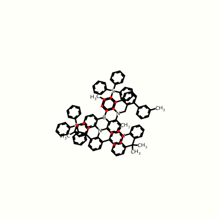 Cc1cccc(-c2cccc(-c3cccc(C)c3)c2CN2c3cc([Si](c4ccccc4)(c4ccccc4)c4ccccc4)ccc3B3c4ccc([Si](c5ccccc5)(c5ccccc5)c5ccccc5)cc4N(c4c(-c5cccc(C)c5)cccc4-c4cccc(C)c4)c4cc(N5c6ccccc6C(C)(C)c6ccccc65)cc2c43)c1